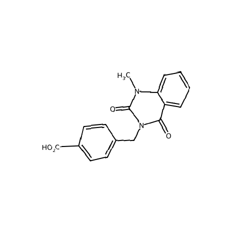 Cn1c(=O)n(Cc2ccc(C(=O)O)cc2)c(=O)c2ccccc21